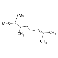 CSC(SC)C(C)CCC=C(C)C